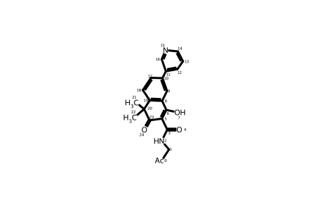 CC(=O)CNC(=O)C1=C(O)c2cc(-c3cccnc3)ccc2C(C)(C)C1=O